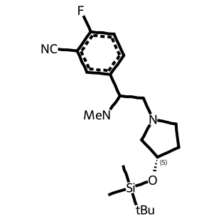 CNC(CN1CC[C@H](O[Si](C)(C)C(C)(C)C)C1)c1ccc(F)c(C#N)c1